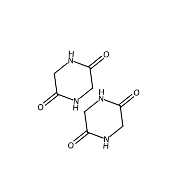 O=C1CNC(=O)CN1.O=C1CNC(=O)CN1